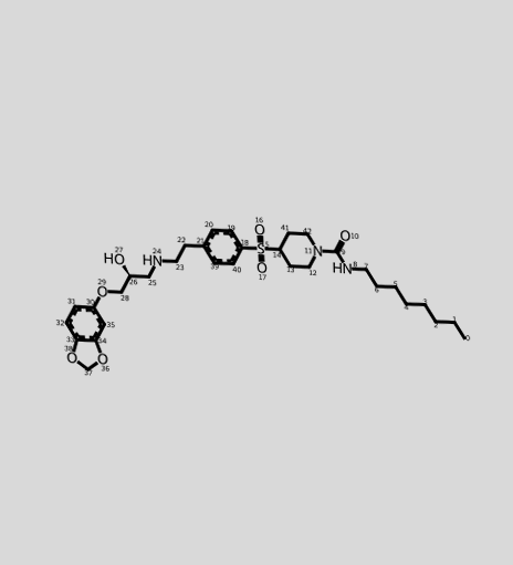 CCCCCCCCNC(=O)N1CCC(S(=O)(=O)c2ccc(CCNC[C@H](O)COc3ccc4c(c3)OCO4)cc2)CC1